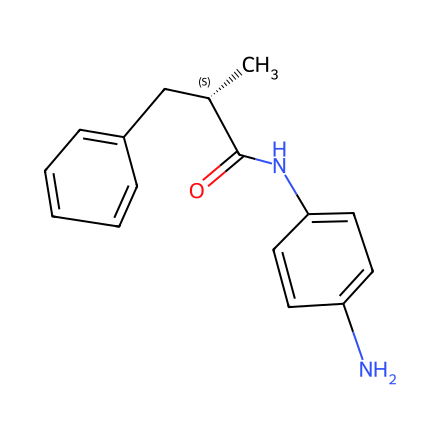 C[C@@H](Cc1ccccc1)C(=O)Nc1ccc(N)cc1